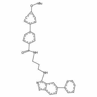 CCCCOc1ccc(-c2ccc(C(=O)NCCCNc3nsc4ccc(-c5ccccc5)cc34)cc2)cc1